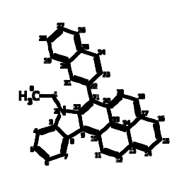 CCn1c2ccccc2c2c3ccc4cccc5ccc(c(-c6ccc7ccccc7c6)c21)c3c54